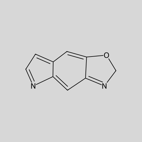 C1=Nc2cc3c(cc2=C1)OCN=3